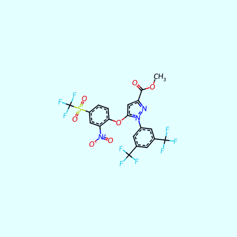 COC(=O)c1cc(Oc2ccc(S(=O)(=O)C(F)(F)F)cc2[N+](=O)[O-])n(-c2cc(C(F)(F)F)cc(C(F)(F)F)c2)n1